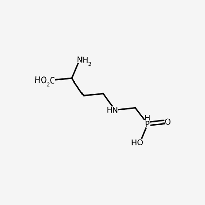 NC(CCNC[PH](=O)O)C(=O)O